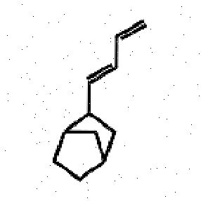 C=CC=CC1CC2CCC1C2